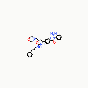 Nc1ccccc1NC(=O)c1ccc(C(CCCN2CCOCC2)NC(=O)NCCCc2ccccc2)cc1